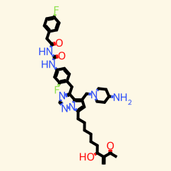 C=C(C(C)=O)C(O)CCCCCCc1cc(CN2CCC(N)CC2)c2c(Cc3ccc(NC(=O)NC(=O)Cc4ccc(F)cc4)cc3F)ncnn12